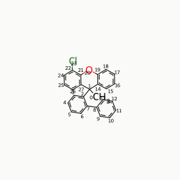 CC1(c2ccccc2-c2ccccc2)c2ccccc2Oc2c(Cl)cccc21